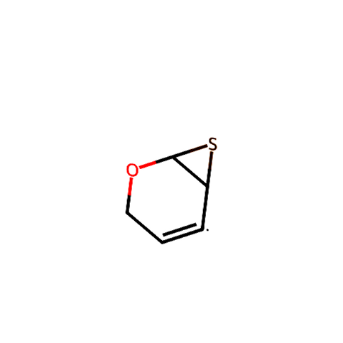 [C]1=CCOC2SC12